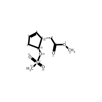 COC(=O)C[C@H]1C=CC[C@@H]1OS(C)(=O)=O